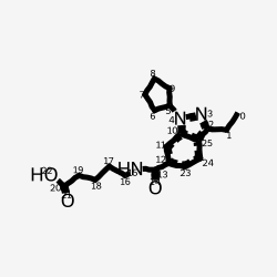 CCc1nn(C2CCCC2)c2cc(C(=O)NCCCCC(=O)O)ccc12